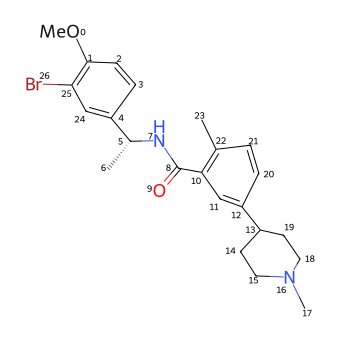 COc1ccc([C@@H](C)NC(=O)c2cc(C3CCN(C)CC3)ccc2C)cc1Br